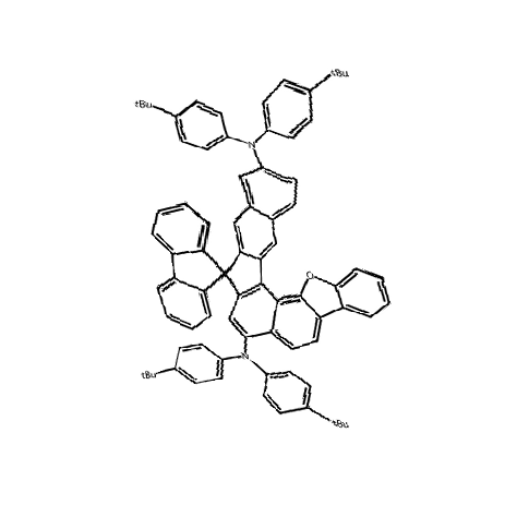 CC(C)(C)c1ccc(N(c2ccc(C(C)(C)C)cc2)c2ccc3cc4c(cc3c2)C2(c3ccccc3-c3ccccc32)c2cc(N(c3ccc(C(C)(C)C)cc3)c3ccc(C(C)(C)C)cc3)c3ccc5c6ccccc6oc5c3c2-4)cc1